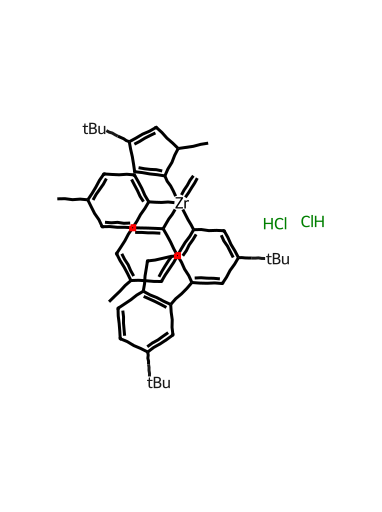 Cl.Cl.[CH2]=[Zr]([C]1=CC(C(C)(C)C)=CC1C)([c]1ccc(C)cc1)([c]1ccc(C)cc1)[c]1cc(C(C)(C)C)cc2c1Cc1ccc(C(C)(C)C)cc1-2